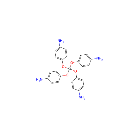 Nc1ccc(O[Si](Oc2ccc(N)cc2)(Oc2ccc(N)cc2)Oc2ccc(N)cc2)cc1